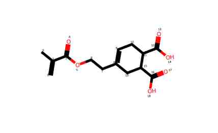 C=C(C)C(=O)OCCC1=CCC(C(=O)O)C(C(=O)O)C1